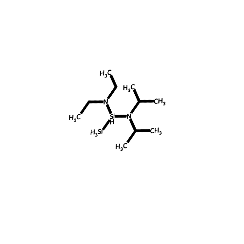 CCN(CC)[SiH]([SiH3])N(C(C)C)C(C)C